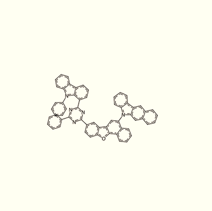 c1ccc(-c2nc(-c3ccc4oc5c6ccccc6c(-n6c7ccccc7c7cc8ccccc8cc76)cc5c4c3)nc(-c3cccc4c5ccccc5n(-c5ccccc5)c34)n2)cc1